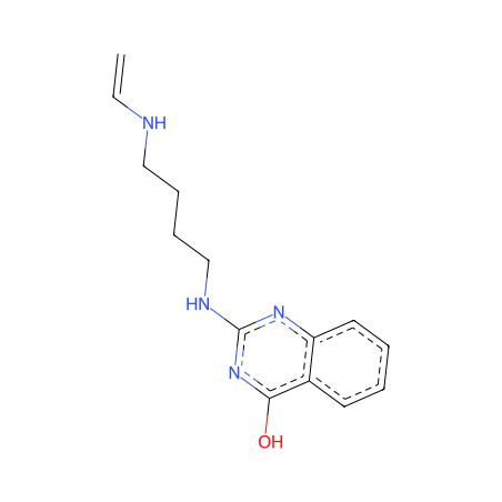 C=CNCCCCNc1nc(O)c2ccccc2n1